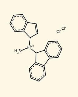 [Cl-].[Cl-].[SiH3][Hf+2]([CH]1C=Cc2ccccc21)[CH]1c2ccccc2-c2ccccc21